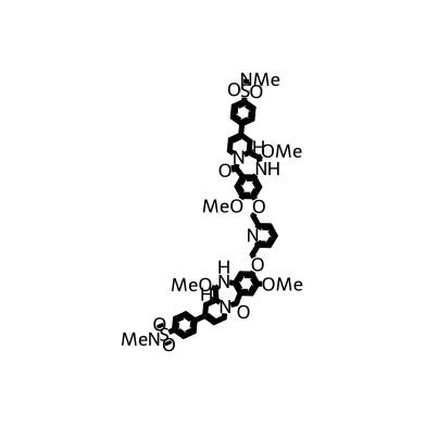 CNS(=O)(=O)c1ccc(C2=CCN3C(=O)c4cc(OC)c(OCc5cccc(COc6cc7c(cc6OC)C(=O)N6CC=C(c8ccc(S(=O)(=O)NC)cc8)C[C@H]6C(OC)N7)n5)cc4NC(OC)[C@@H]3C2)cc1